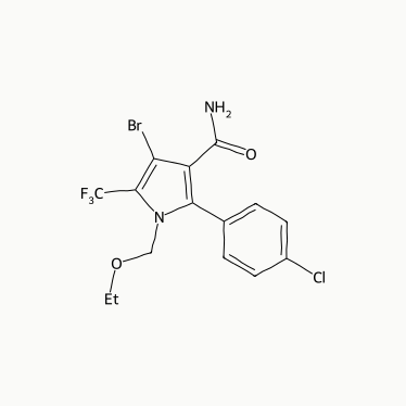 CCOCn1c(-c2ccc(Cl)cc2)c(C(N)=O)c(Br)c1C(F)(F)F